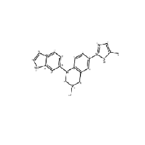 Cc1cnc(-c2ccc3c(c2)CN(C)CC3c2ccc3cc[nH]c3c2)s1